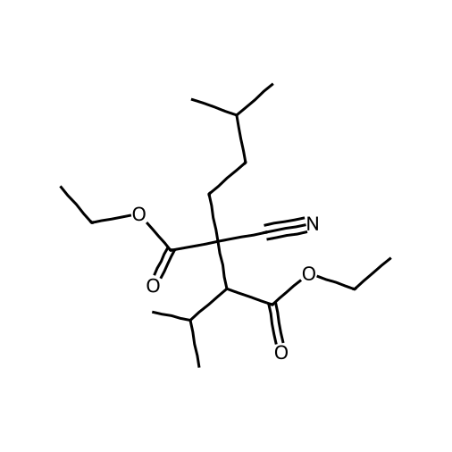 CCOC(=O)C(C(C)C)C(C#N)(CCC(C)C)C(=O)OCC